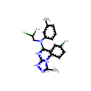 Cc1cccc(N(CC(F)F)c2nc3nnc(C)n3c3ccc(F)cc23)c1